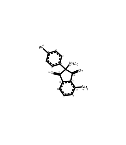 CC(=O)NC1(c2[c]cc(C(C)C)cc2)C(=O)c2cccc(N)c2C1=O